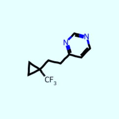 FC(F)(F)C1(CCc2ccncn2)CC1